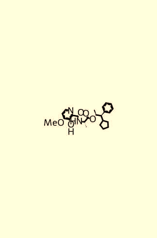 COc1ccnc(C(=O)N[C@@H](C)C(=O)O[C@@H](C)[C@@H](c2ccccc2)C2CCCC2)c1O